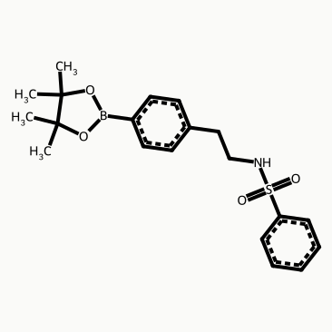 CC1(C)OB(c2ccc(CCNS(=O)(=O)c3ccccc3)cc2)OC1(C)C